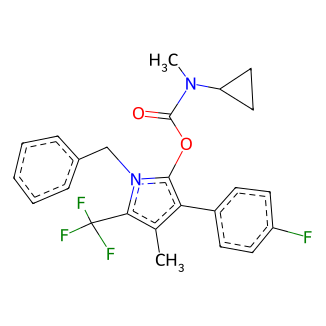 Cc1c(-c2ccc(F)cc2)c(OC(=O)N(C)C2CC2)n(Cc2ccccc2)c1C(F)(F)F